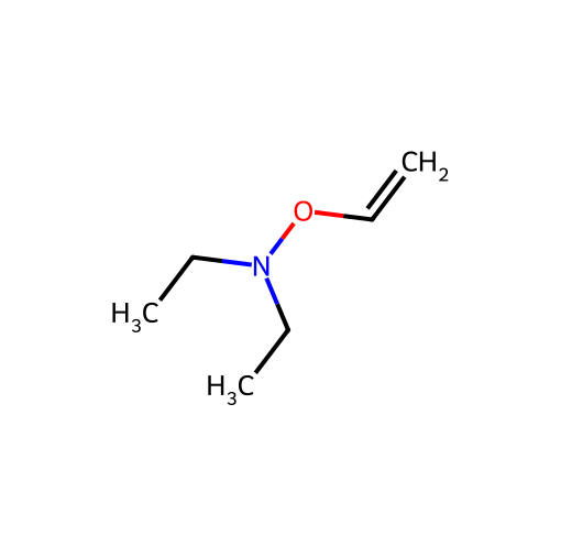 C=CON(CC)CC